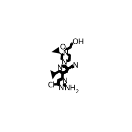 N#Cc1cc(-c2cc(Cl)nc(N)n2)c(C2CC2)nc1N1CCN(C(=O)CCO)[C@H](C2CC2)C1